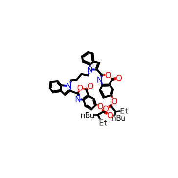 CCCCC(CC)C(=O)Oc1ccc2nc(-c3cc4ccccc4n3CCCCn3c(-c4nc5ccc(OC(=O)C(CC)CCCC)cc5c(=O)o4)cc4ccccc43)oc(=O)c2c1